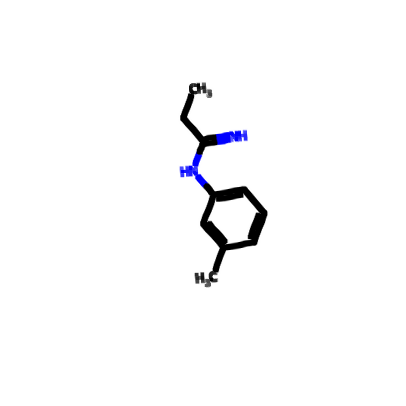 CCC(=N)Nc1cccc(C)c1